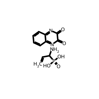 C=CC(N)P(=O)(O)O.O=C1N=c2ccccc2=NC1=O